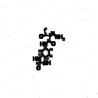 CC(=O)/C(=N/N)C(=O)Nc1ccc2[nH]c(=O)[nH]c2c1